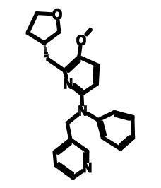 COc1ccc(N(Cc2cccnc2)c2ccccc2)nc1C[C@@H]1CCOC1